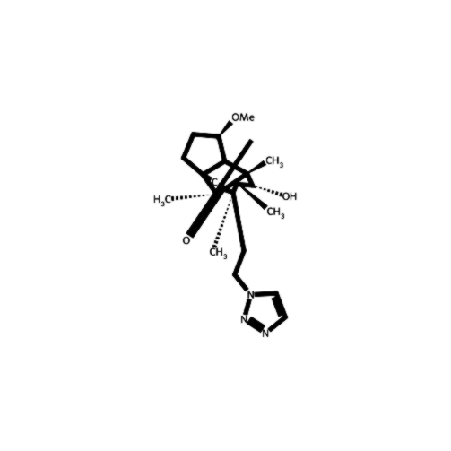 CO[C@@H]1CCC23CC[C@@H](C)[C@](C)(C12)[C@H](O)C[C@@](C)(CCn1ccnn1)C(=O)[C@@H]3C